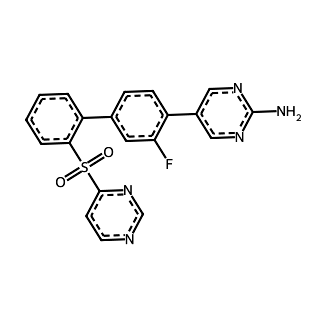 Nc1ncc(-c2ccc(-c3ccccc3S(=O)(=O)c3ccncn3)cc2F)cn1